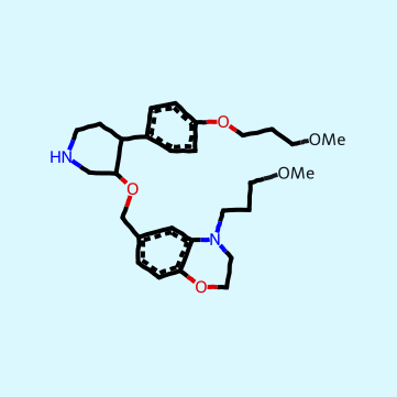 COCCCOc1ccc(C2CCNCC2OCc2ccc3c(c2)N(CCCOC)CCO3)cc1